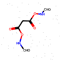 O=CNOC(=O)CC(=O)ONC=O